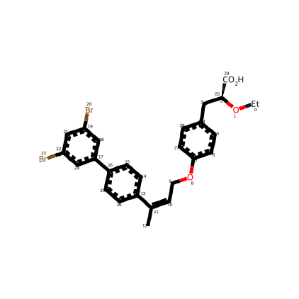 CCO[C@@H](Cc1ccc(OCC=C(C)c2ccc(-c3cc(Br)cc(Br)c3)cc2)cc1)C(=O)O